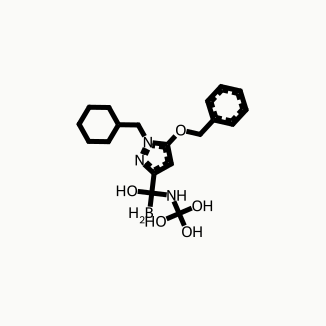 BC(O)(NC(O)(O)O)c1cc(OCc2ccccc2)n(CC2CCCCC2)n1